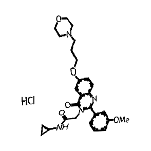 COc1cccc(-c2nc3ccc(OCCCN4CCOCC4)cc3c(=O)n2CC(=O)NC2CC2)c1.Cl